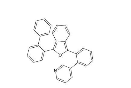 c1ccc(-c2ccccc2-c2oc(-c3ccccc3-c3cccnc3)c3ccccc23)cc1